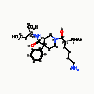 CC(=O)N[C@H](CCCCN)C(=O)N1CCC(C(=O)N[C@H](CC(=O)O)C(=O)O)(c2ccccc2)CC1